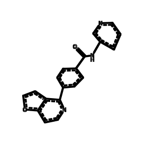 O=C(Nc1cccnc1)c1ccc(-c2nccc3occc23)cc1